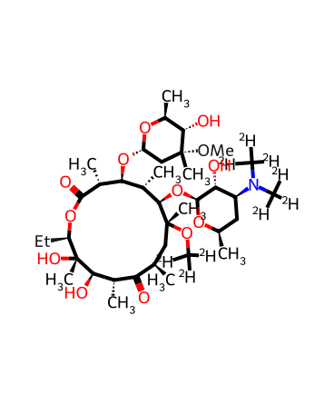 [2H]C([2H])([2H])O[C@]1(C)C[C@@H](C)C(=O)[C@H](C)[C@@H](O)[C@](C)(O)[C@@H](CC)OC(=O)[C@H](C)[C@@H](O[C@H]2C[C@@](C)(OC)[C@@H](O)[C@H](C)O2)[C@H](C)[C@H]1O[C@@H]1O[C@H](C)C[C@H](N(C([2H])([2H])[2H])C([2H])([2H])[2H])[C@H]1O